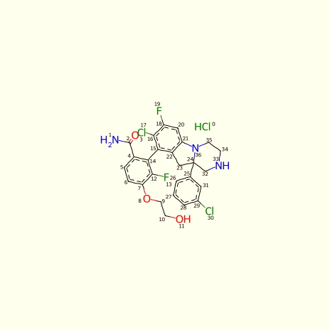 Cl.NC(=O)c1ccc(OCCO)c(F)c1-c1c(Cl)c(F)cc2c1CC1(c3cccc(Cl)c3)CNCCN21